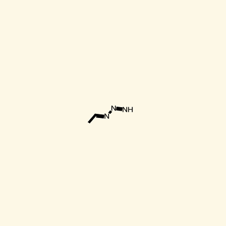 CC=NN=N